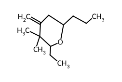 C=C1CC(CCC)OC(CC)C1(C)C